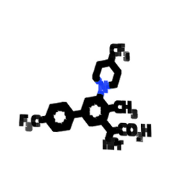 CCCC(C(=O)O)c1cc(-c2ccc(C(F)(F)F)cc2)cc(N2CCC(C(F)(F)F)CC2)c1C